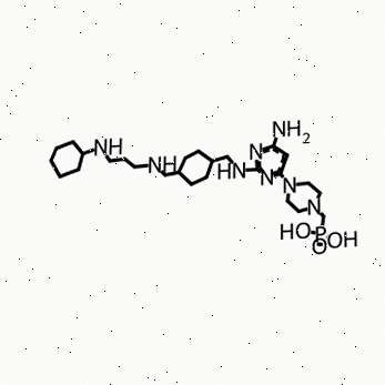 Nc1cc(N2CCN(CP(=O)(O)O)CC2)nc(NCC2CCC(CNCCCNC3CCCCC3)CC2)n1